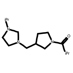 CC(C)C(=O)N1CCC(CN2CCN(C(C)C)C2)C1